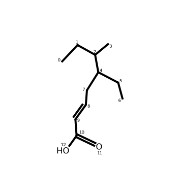 CCC(C)C(CC)CC=CC(=O)O